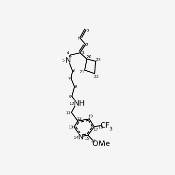 C=C/C=C(\C=N/CCCCNCc1cnc(OC)c(C(F)(F)F)c1)C1CCC1